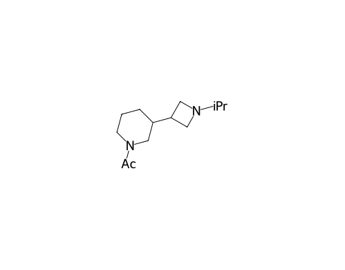 CC(=O)N1CCCC(C2CN(C(C)C)C2)C1